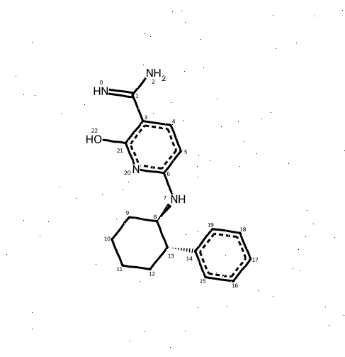 N=C(N)c1ccc(N[C@@H]2CCCC[C@H]2c2ccccc2)nc1O